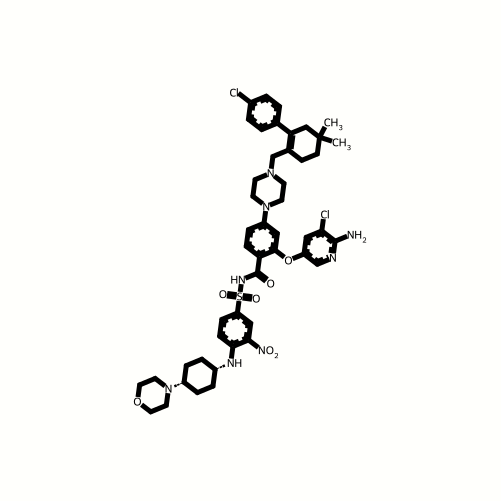 CC1(C)CCC(CN2CCN(c3ccc(C(=O)NS(=O)(=O)c4ccc(N[C@H]5CC[C@@H](N6CCOCC6)CC5)c([N+](=O)[O-])c4)c(Oc4cnc(N)c(Cl)c4)c3)CC2)=C(c2ccc(Cl)cc2)C1